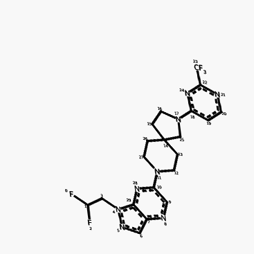 FC(F)Cn1ncc2ncc(N3CCC4(CCN(c5ccnc(C(F)(F)F)n5)C4)CC3)nc21